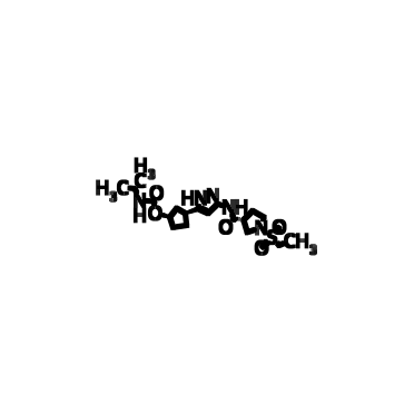 CCS(=O)(=O)N1CC[C@@H](C(=O)Nc2cc([C@H]3CC[C@@H](OC(=O)NC(C)C)C3)[nH]n2)C1